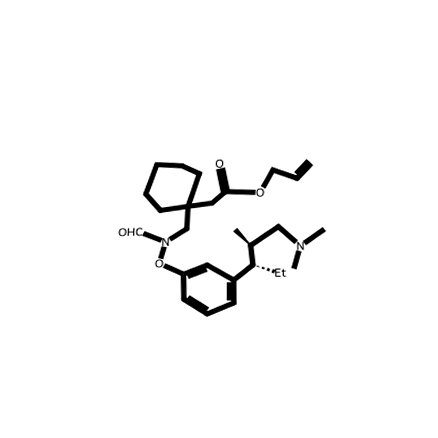 C=CCOC(=O)CC1(CN(C=O)Oc2cccc([C@@H](CC)[C@@H](C)CN(C)C)c2)CCCCC1